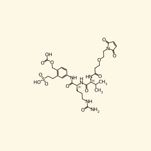 CC(C)[C@H](NC(=O)CCOCCN1C(=O)C=CC1=O)C(=O)N[C@@H](CCCNC(N)=O)C(=O)Nc1ccc(COC(=O)O)c(CCS(=O)(=O)O)c1